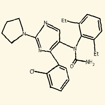 CCc1cccc(CC)c1N(C(N)=O)c1cnc(N2CCCC2)nc1-c1ccccc1Cl